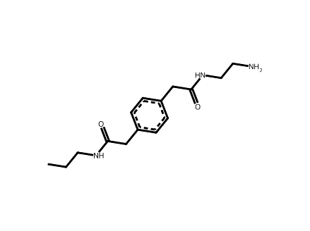 CCCNC(=O)Cc1ccc(CC(=O)NCCN)cc1